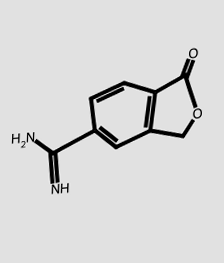 N=C(N)c1ccc2c(c1)COC2=O